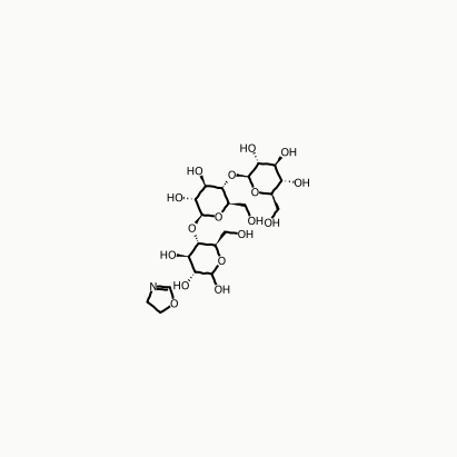 C1=NCCO1.OC[C@H]1O[C@@H](O[C@H]2[C@H](O)[C@@H](O)[C@H](O[C@H]3[C@H](O)[C@@H](O)C(O)O[C@@H]3CO)O[C@@H]2CO)[C@H](O)[C@@H](O)[C@@H]1O